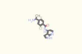 CC(N)c1ccc(C(=O)Nc2ccnc3[nH]ccc23)c(Cl)c1